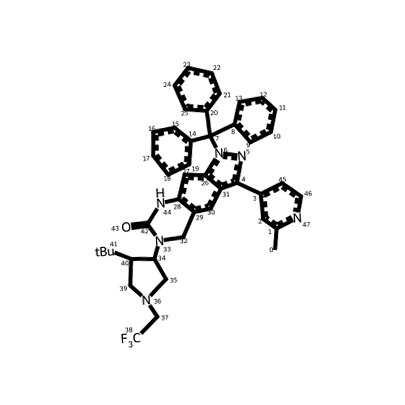 Cc1cc(-c2nn(C(c3ccccc3)(c3ccccc3)c3ccccc3)c3cc4c(cc23)CN(C2CN(CC(F)(F)F)CC2C(C)(C)C)C(=O)N4)ccn1